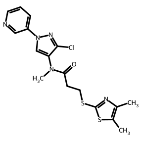 Cc1nc(SCCC(=O)N(C)c2cn(-c3cccnc3)nc2Cl)sc1C